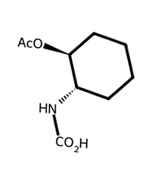 CC(=O)O[C@H]1CCCC[C@@H]1NC(=O)O